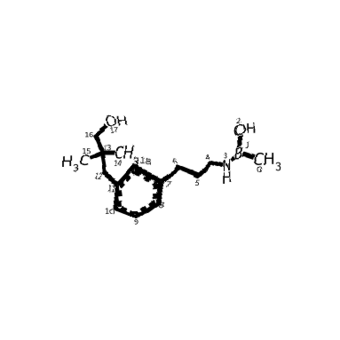 CB(O)NCCCc1cccc(CC(C)(C)CO)c1